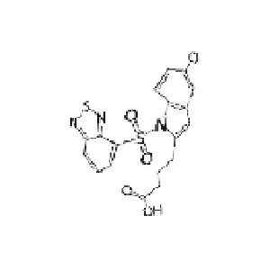 O=C(O)CCCc1cc2cc(Cl)ccc2n1S(=O)(=O)c1cccc2nsnc12